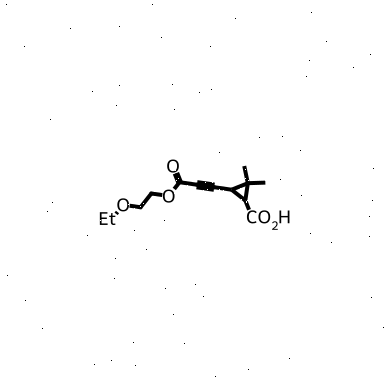 CCOCCOC(=O)C#CC1C(C(=O)O)C1(C)C